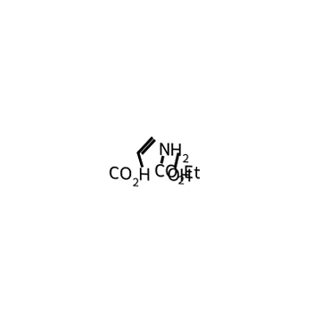 C=CC(=O)O.CCOC(N)=O.CO